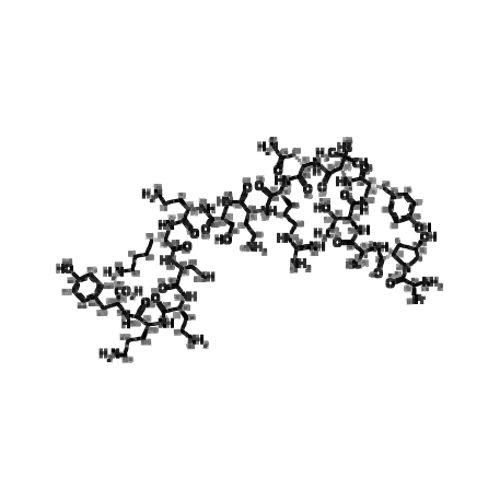 CC[C@H](C)[C@H](NC(=O)[C@@H]1C[C@@H](O)CN1C(=O)[C@@H](N)C(C)C)C(=O)N[C@H](C(=O)N[C@@H](Cc1ccc(O)cc1)C(=O)N[C@H](C(=O)N[C@@H](CC(N)=O)C(=O)N[C@@H](CCCNC(=N)N)C(=O)N[C@@H](CCN)C(=O)N[C@@H](CO)C(=O)N[C@H](CCN)C(=O)N[C@@H](CCCCN)C(=O)N[C@@H](CS)C(=O)N[C@@H](CCN)C(=O)N[C@@H](CCCN)C(=O)N[C@@H](Cc1ccc(O)cc1)C(=O)O)C(C)(C)S)[C@@H](C)O